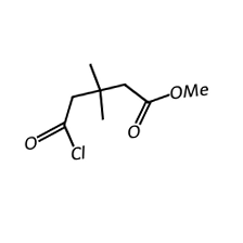 COC(=O)CC(C)(C)CC(=O)Cl